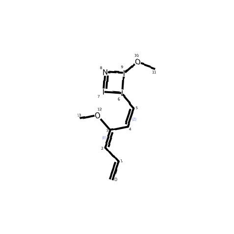 C=C/C=C(\C=C/I1I=NI1OC)OC